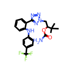 CC(C)(C)C(Cn1nnc(-c2ccccc2Nc2ccc(C(F)(F)F)cc2)n1)OC(N)=O